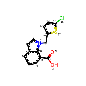 O=C(O)c1cccc2ccn(Cc3ccc(Cl)s3)c12